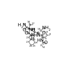 CCC(=O)N[C@H](CC(C)C)C(=O)N[C@@H](CCN)C(=O)N[C@@H](CC1CCCCC1)C(=O)N[C@H](C(N)=O)C(C)C